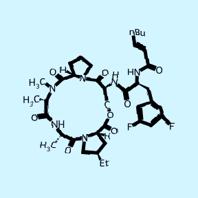 CCCC/C=C/C(=O)N[C@@H](Cc1cc(F)cc(F)c1)C(=O)N[C@H]1COC(=O)[C@@H]2C[C@@H](CC)CN2C(=O)[C@H](C)NC(=O)[C@H](C)N(C)C(=O)[C@@H]2CCCN2C1=O